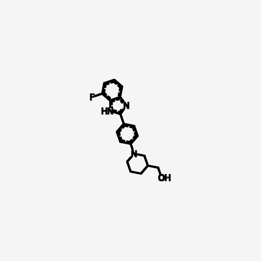 OCC1CCCN(c2ccc(-c3nc4cccc(F)c4[nH]3)cc2)C1